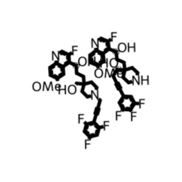 COc1ccc2ncc(F)c([C@H](O)CCC3(CO)CCN(CC#Cc4c(F)cc(F)cc4F)CC3)c2c1.COc1ccc2ncc(F)c([C@H](O)CCC3([C@@H](O)CC#Cc4cc(F)c(F)c(F)c4)CCNCC3)c2c1